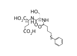 O=C(O)CC[C@H](NC(=O)[C@H](CO)NC(=O)CCCSc1ccccc1)C(=O)O